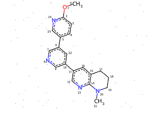 COc1ccc(-c2cncc(-c3cnc4c(c3)CCCN4C)c2)cn1